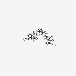 COc1cccc(C(O)(C(=O)N2CCC(C)(CC3CCN(c4ccc(C(=O)N(C)C)c(Cl)n4)CC3)CC2)C(F)(F)F)c1